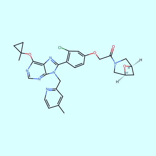 Cc1ccnc(Cn2c(-c3ccc(OCC(=O)N4C[C@H]5C[C@@H](C4)O5)cc3Cl)nc3c(OC4(C)CC4)ncnc32)c1